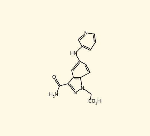 NC(=O)c1nn(CC(=O)O)c2ccc(Nc3cccnc3)cc12